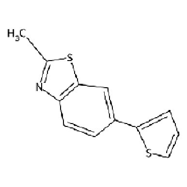 Cc1nc2ccc(-c3cccs3)cc2s1